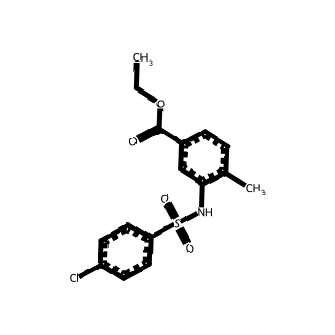 CCOC(=O)c1ccc(C)c(NS(=O)(=O)c2ccc(Cl)cc2)c1